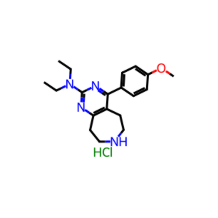 CCN(CC)c1nc2c(c(-c3ccc(OC)cc3)n1)CCNCC2.Cl